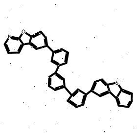 c1cc(-c2cccc(-c3ccc4oc5ncccc5c4c3)c2)cc(-c2cccc(-c3ccc4sc5ccccc5c4c3)c2)c1